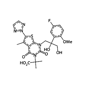 COc1ccc(F)cc1C(O)(CO)Cn1c(=O)n(C(C)(C)C(=O)O)c(=O)c2c(C)c(-n3nccn3)sc21